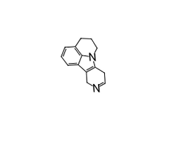 C1=NCc2c(n3c4c(cccc24)CCC3)C1